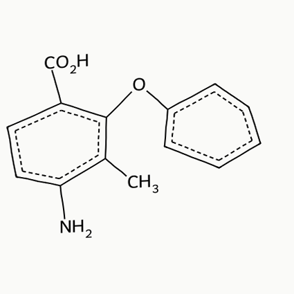 Cc1c(N)ccc(C(=O)O)c1Oc1ccccc1